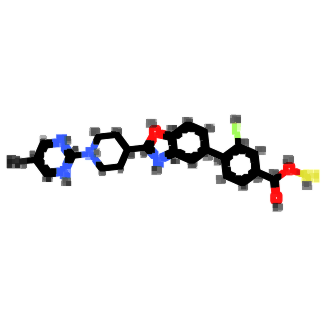 CCc1cnc(N2CCC(c3nc4cc(-c5ccc(C(=O)OS)cc5F)ccc4o3)CC2)nc1